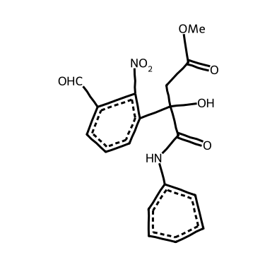 COC(=O)CC(O)(C(=O)Nc1ccccc1)c1cccc(C=O)c1[N+](=O)[O-]